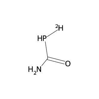 [2H]PC(N)=O